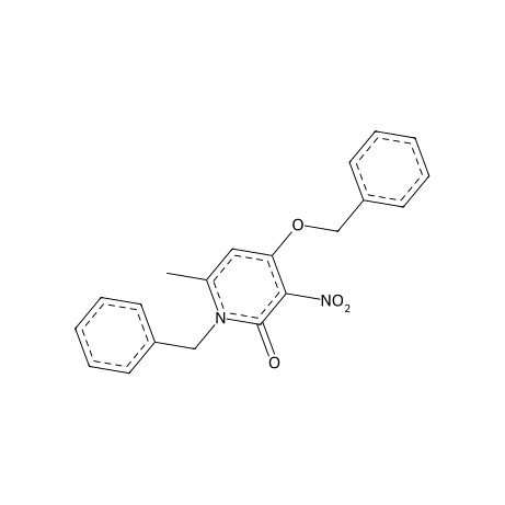 Cc1cc(OCc2ccccc2)c([N+](=O)[O-])c(=O)n1Cc1ccccc1